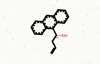 C=CC[C@@H](O)c1c2ccccc2cc2ccccc12